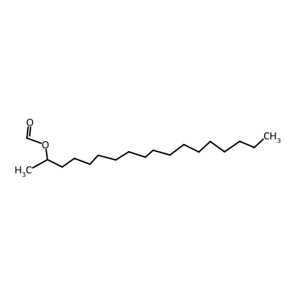 CCCCCCCCCCCCCCCCC(C)OC=O